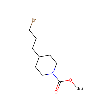 CC(C)(C)OC(=O)N1CCC(CCCBr)CC1